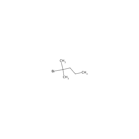 CCC[C](C)(C)[Bi]